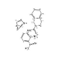 CC(=O)c1cccc(NC(=O)N2CCc3ccccc3C2)c1N.c1cc2cc-2n1